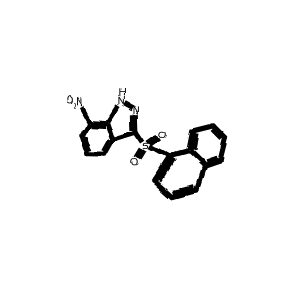 O=[N+]([O-])c1cccc2c(S(=O)(=O)c3cccc4ccccc34)n[nH]c12